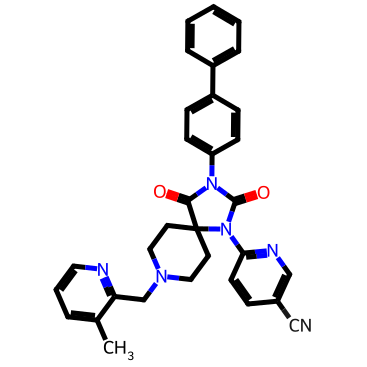 Cc1cccnc1CN1CCC2(CC1)C(=O)N(c1ccc(-c3ccccc3)cc1)C(=O)N2c1ccc(C#N)cn1